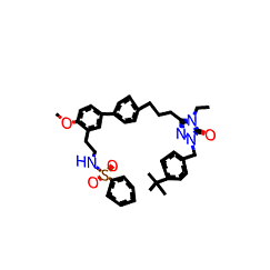 CCn1c(CCCc2ccc(-c3ccc(OC)c(CCNS(=O)(=O)c4ccccc4)c3)cc2)nn(Cc2ccc(C(C)(C)C)cc2)c1=O